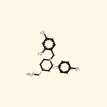 O=C(O)C[C@@H]1CCN(Cc2ccc(C(F)(F)F)cc2C(F)(F)F)[C@H](c2ccc(C(F)(F)F)cc2)C1